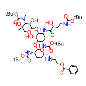 CN(C(=O)OC(C)(C)C)[C@@H]1[C@@H](O)[C@@H](O[C@@H]2[C@@H](O)[C@H](O[C@H]3O[C@H](CNCCOC(=O)c4ccccc4)CC[C@H]3NC(=O)OC(C)(C)C)[C@@H](NC(=O)OC(C)(C)C)C[C@H]2NC(=O)[C@@H](O)CCNC(=O)OC(C)(C)C)OC[C@]1(C)O